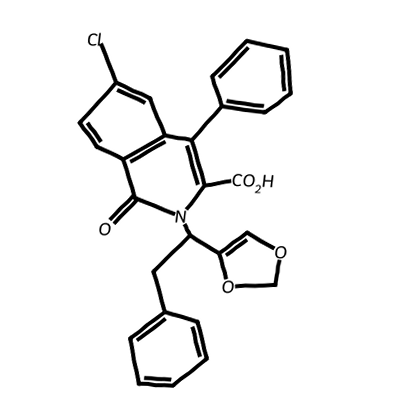 O=C(O)c1c(-c2ccccc2)c2cc(Cl)ccc2c(=O)n1C(Cc1ccccc1)C1=COCO1